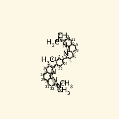 Cc1cc(-c2ccc3ccc4ccc(N(C)C)nc4c3n2)ccc1-c1ccc2ccc3ccc(N(C)C)nc3c2n1